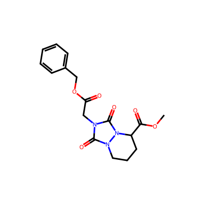 COC(=O)C1CCCn2c(=O)n(CC(=O)OCc3ccccc3)c(=O)n21